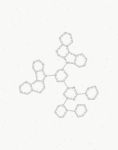 c1ccc(-c2nc(-c3cc(-n4c5ccccc5c5c6ccccc6ccc54)cc(-n4c5ccccc5c5c6ccccc6ccc54)c3)cc(-c3ccccc3-c3ccccc3)n2)cc1